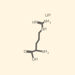 N=C(N)NCCCC(N)C(=O)O.[LiH]